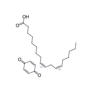 CCCCC/C=C\C/C=C\CCCCCCCC(=O)O.O=C1C=CC(=O)C=C1